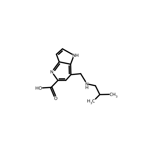 CC(C)CNCc1cc(C(=O)O)nc2cc[nH]c12